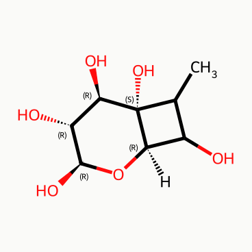 CC1C(O)[C@H]2O[C@@H](O)[C@H](O)[C@@H](O)[C@@]12O